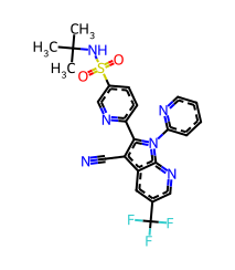 CC(C)(C)NS(=O)(=O)c1ccc(-c2c(C#N)c3cc(C(F)(F)F)cnc3n2-c2ccccn2)nc1